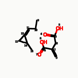 C=C(CC(=O)O)C(=O)O.CCC=C1CC1C